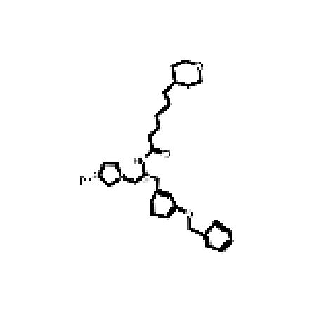 O=C(CCCCCC1CCOCC1)N[C@@H](Cc1cccc(OCc2ccccc2)c1)CN1CC[C@@H](F)C1